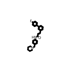 O=C(/C=C/c1cccc(-c2ccc(F)cc2)c1)Nc1ccc(CN2CCCCC2)cc1